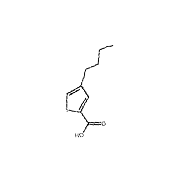 CCCCc1csc(C(=O)O)c1